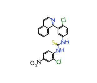 O=[N+]([O-])c1ccc(NC(=S)Nc2ccc(Cl)c(-c3nccc4ccccc34)c2)c(Cl)c1